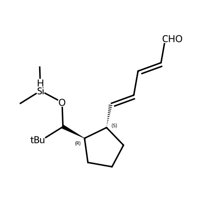 C[SiH](C)OC([C@@H]1CCC[C@H]1C=CC=CC=O)C(C)(C)C